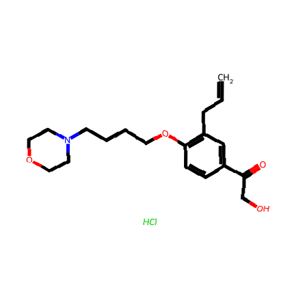 C=CCc1cc(C(=O)CO)ccc1OCCCCN1CCOCC1.Cl